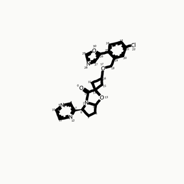 O=C1N2C(CC[C@H]2c2cnccn2)OC12CC(OCc1cc(Cl)ccc1-c1cnco1)C2